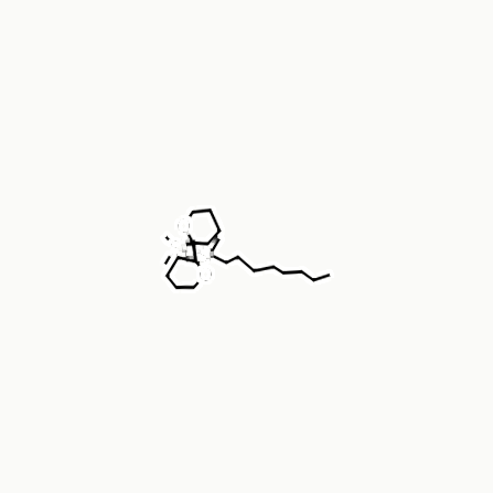 CCCCCCCC[SiH](C)C1(C2([SiH](C)C)CCCCO2)CCCCO1